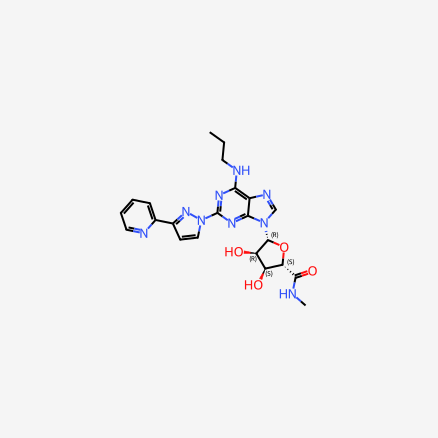 CCCNc1nc(-n2ccc(-c3ccccn3)n2)nc2c1ncn2[C@@H]1O[C@H](C(=O)NC)[C@@H](O)[C@H]1O